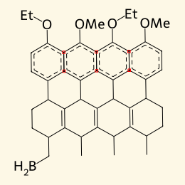 BCC1CCC(c2ccc(OCC)cc2)C2=C1C(C)C1=C(C(c3ccc(OCC)cc3)C3=C(C(C)CCC3c3ccc(OC)cc3)C1C)C2c1ccc(OC)cc1